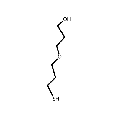 OCCCOCCCS